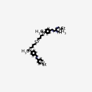 C/C=C(\C=C/NCC)/C=C/c1ccc(N(C)CCCCSSCCCCN(C)c2ccc(/C=C/c3cc[n+](CC)cc3)cc2)cc1